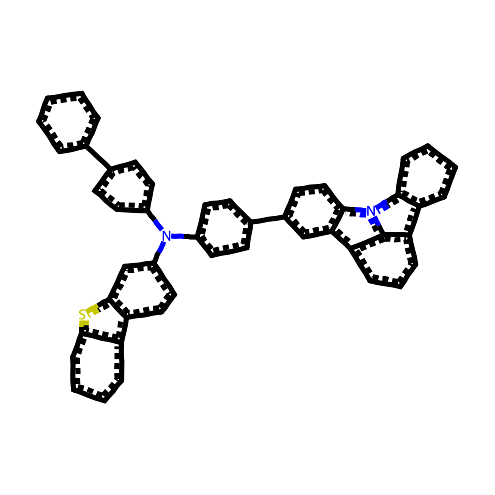 c1ccc(-c2ccc(N(c3ccc(-c4ccc5c(c4)c4cccc6c7ccccc7n5c64)cc3)c3ccc4c(c3)sc3ccccc34)cc2)cc1